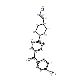 Cc1ccc(C(=O)c2cnc(C3CCC(/C=C/Cl)CC3)nc2)cc1